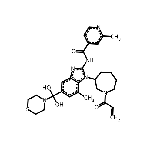 C=CC(=O)N1CCCCC(n2c(NC(=O)c3ccnc(C)c3)nc3cc(C(O)(O)N4CCSCC4)cc(C)c32)C1